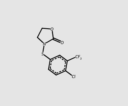 O=C1OCCN1Sc1ccc(Cl)c(C(F)(F)F)c1